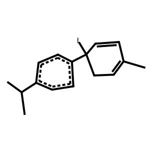 CC1=CCC(I)(c2ccc(C(C)C)cc2)C=C1